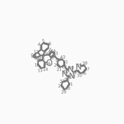 C1=CC2c3ccccc3C3(c4ccccc4Oc4c(-c5ccc(-c6nc(-c7ccccc7)nc(-c7ccccn7)n6)cc5)cccc43)C2C=C1